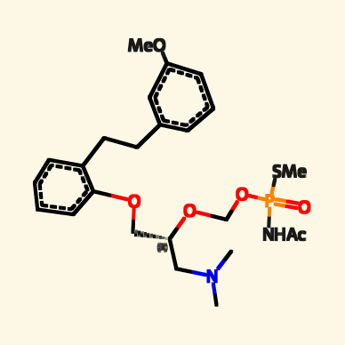 COc1cccc(CCc2ccccc2OC[C@@H](CN(C)C)OCOP(=O)(NC(C)=O)SC)c1